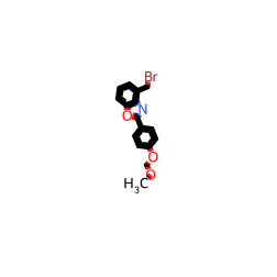 COCOc1ccc(-c2nc3c(CBr)cccc3o2)cc1